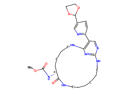 CC(C)(C)OC(=O)N[C@@H]1CCCCNc2nc(ncc2-c2ccc(C3OCCO3)cn2)NCCCCCCNC1=O